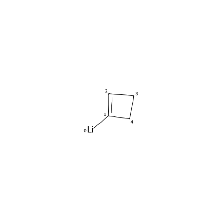 [Li][C]1=CCC1